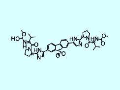 COC(=O)N[C@@H](C(=O)N1CCC[C@@H]1c1ncc(-c2ccc3c(c2)S(=O)(=O)c2cc(-c4cnc([C@H]5CCCN5C(=O)[C@H](NC(O)OC)C(C)C)[nH]4)ccc2-3)[nH]1)C(C)C